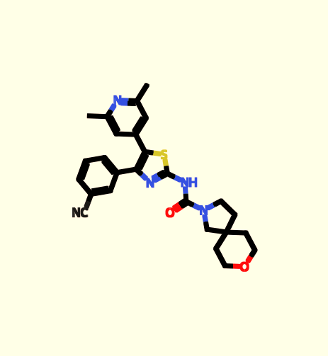 Cc1cc(-c2sc(NC(=O)N3CCC4(CCOCC4)C3)nc2-c2cccc(C#N)c2)cc(C)n1